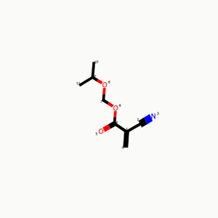 C=C(C#N)C(=O)OCOC(C)C